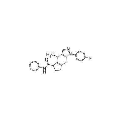 C[C@@H]1C2=C(CC[C@H]2C(=O)Nc2ccccc2)Cc2c1cnn2-c1ccc(F)cc1